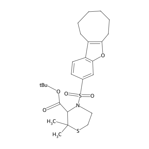 CC(C)(C)OC(=O)C1N(S(=O)(=O)c2ccc3c4c(oc3c2)CCCCCC4)CCSC1(C)C